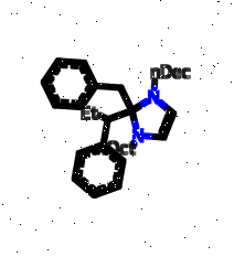 CCCCCCCCCCN1C=CN(CCCCCCCC)C1(Cc1ccccc1)C(CC)c1ccccc1